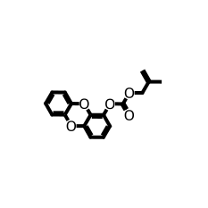 C=C(C)COC(=O)Oc1cccc2c1Oc1ccccc1O2